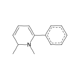 CC1C=CC=C(c2ccccc2)N1C